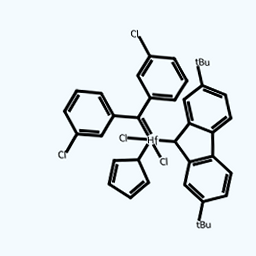 CC(C)(C)c1ccc2c(c1)[CH]([Hf]([Cl])([Cl])(=[C](c1cccc(Cl)c1)c1cccc(Cl)c1)[CH]1C=CC=C1)c1cc(C(C)(C)C)ccc1-2